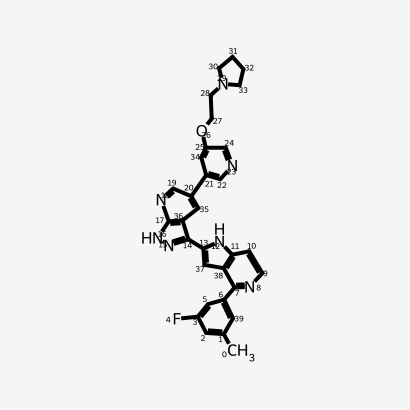 Cc1cc(F)cc(-c2nccc3[nH]c(-c4n[nH]c5ncc(-c6cncc(OCCN7CCCC7)c6)cc45)cc23)c1